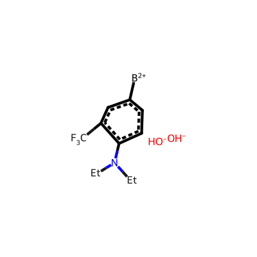 [B+2]c1ccc(N(CC)CC)c(C(F)(F)F)c1.[OH-].[OH-]